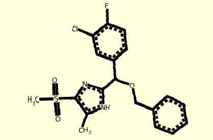 Cc1[nH]c(C(OCc2ccccc2)c2ccc(F)c(Cl)c2)nc1S(C)(=O)=O